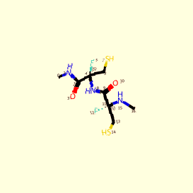 CNC(=O)[C@](F)(CS)NC(=O)[C@](F)(CS)NC